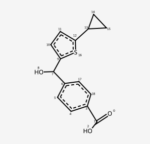 O=C(O)c1ccc(C(O)c2ccc(C3CC3)s2)cc1